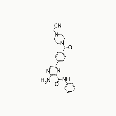 N#CCN1CCN(C(=O)c2ccc(-c3cnc(N)c(C(=O)Nc4ccccc4)n3)cc2)CC1